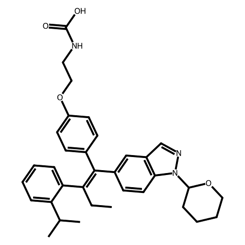 CC/C(=C(/c1ccc(OCCNC(=O)O)cc1)c1ccc2c(cnn2C2CCCCO2)c1)c1ccccc1C(C)C